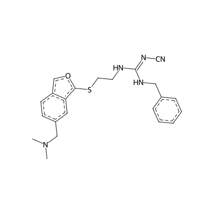 CN(C)Cc1ccc2coc(SCCNC(=NC#N)NCc3ccccc3)c2c1